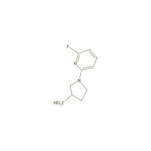 O=C(O)C1CCN(c2cccc(F)n2)C1